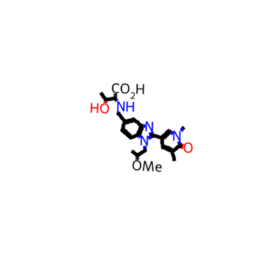 COC(C)Cn1c(-c2cc(C)c(=O)n(C)c2)nc2cc(CNC(C(=O)O)C(C)O)ccc21